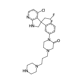 O=C1CN(CCCN2CCNCC2)CCN1c1cccc(C2(CC(F)F)CNc3nccc(Cl)c32)c1